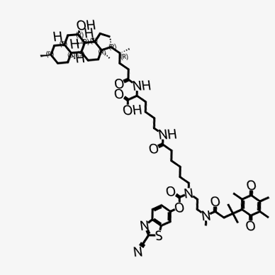 CC1=C(C)C(=O)C(C(C)(C)CC(=O)N(C)CCN(CCCCCC(=O)NCCCCC(NC(=O)CC[C@@H](C)[C@H]2CC[C@H]3[C@@H]4[C@H](O)C[C@@H]5C[C@H](C)CC[C@]5(C)[C@H]4CC[C@]23C)C(=O)O)C(=O)Oc2ccc3nc(C#N)sc3c2)=C(C)C1=O